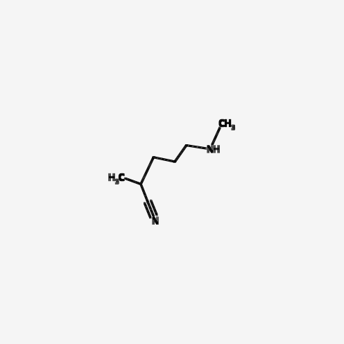 CNCCCC(C)C#N